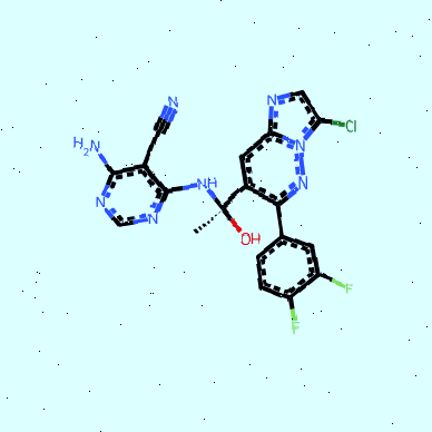 C[C@](O)(Nc1ncnc(N)c1C#N)c1cc2ncc(Cl)n2nc1-c1ccc(F)c(F)c1